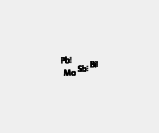 [Bi].[Mo].[Pb].[Sb]